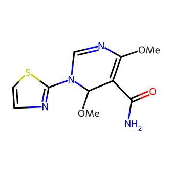 COC1=C(C(N)=O)C(OC)N(c2nccs2)C=N1